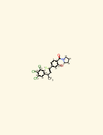 O=C(c1ccc(/C(F)=C/C(c2cc(Cl)c(Cl)c(Cl)c2)C(F)(F)F)cc1Br)N1CCCC1